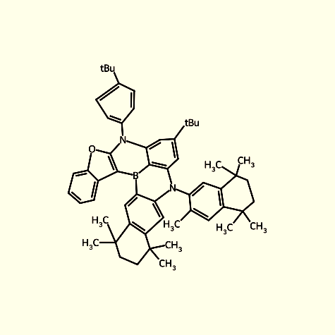 Cc1cc2c(cc1N1c3cc4c(cc3B3c5c1cc(C(C)(C)C)cc5N(c1ccc(C(C)(C)C)cc1)c1oc5ccccc5c13)C(C)(C)CCC4(C)C)C(C)(C)CCC2(C)C